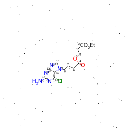 CCOC(=O)CCOC(=O)CCCn1cnc2nc(N)nc(Cl)c21